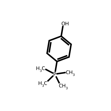 CP(C)(C)(C)c1ccc(O)cc1